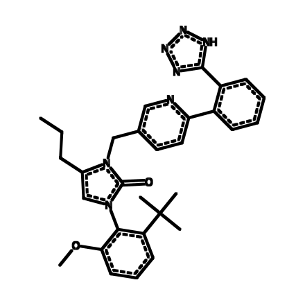 CCCc1cn(-c2c(OC)cccc2C(C)(C)C)c(=O)n1Cc1ccc(-c2ccccc2-c2nnn[nH]2)nc1